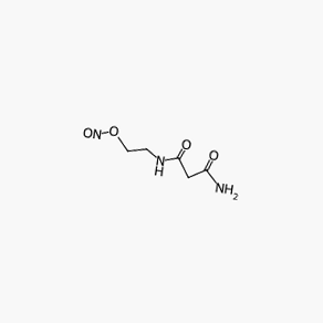 NC(=O)CC(=O)NCCON=O